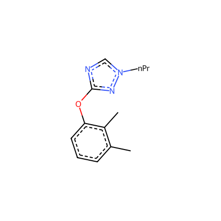 CCCn1cnc(Oc2cccc(C)c2C)n1